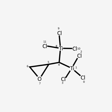 [Cl][Ti]([Cl])([Cl])[CH](C1CO1)[Ti]([Cl])([Cl])[Cl]